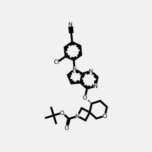 CC(C)(C)OC(=O)N1CC2(COCC[C@H]2Oc2ncnc3c2ccn3-c2ccc(C#N)cc2Cl)C1